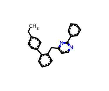 CCc1ccc(-c2ccccc2Cc2ccnc(-c3ccccc3)n2)cc1